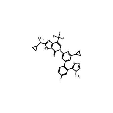 C[C@@H](c1nc2c(C(F)(F)F)cn(-c3cc(-c4ccc(F)cc4-c4nncn4C)cc(C4CC4)n3)c(=O)c2[nH]1)C1CC1